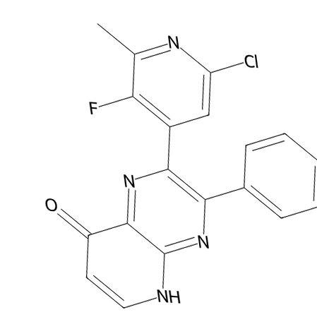 Cc1nc(Cl)cc(-c2nc3c(=O)cc[nH]c3nc2-c2ccccc2)c1F